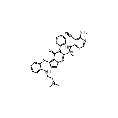 C[C@H](Nc1ncnc(N)c1C#N)c1nn2ccc(Sc3ccccc3NCCN(C)C)c2c(=O)n1-c1ccccc1